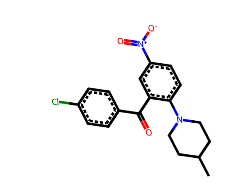 CC1CCN(c2ccc([N+](=O)[O-])cc2C(=O)c2ccc(Cl)cc2)CC1